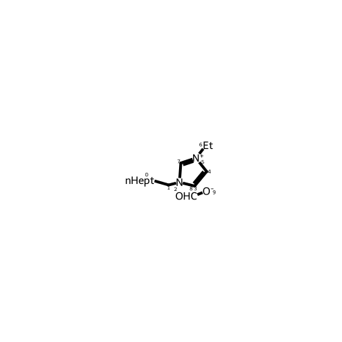 CCCCCCCCn1cc[n+](CC)c1.O=C[O-]